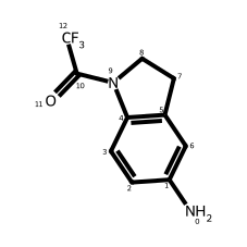 Nc1ccc2c(c1)CCN2C(=O)C(F)(F)F